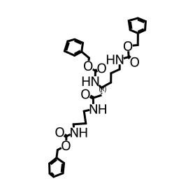 O=C(C[C@@H](CCCNC(=O)OCc1ccccc1)NC(=O)OCc1ccccc1)NCCCNC(=O)OCc1ccccc1